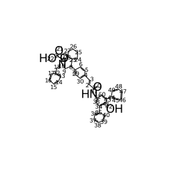 O=C(C=Cc1ccc(C(CN(Cc2ccccc2)C(=O)C(=O)O)C2CCCCC2)cc1)Nc1cc(-c2ccccc2)c(O)c(-c2ccccc2)c1